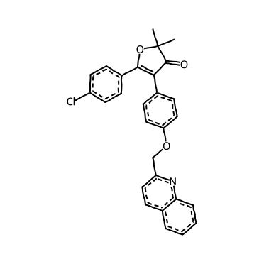 CC1(C)OC(c2ccc(Cl)cc2)=C(c2ccc(OCc3ccc4ccccc4n3)cc2)C1=O